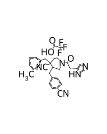 Cc1cccc(CC2(C#N)CCN(C(=O)Cc3cnc[nH]3)CC2Cc2ccc(C#N)cc2)c1.O=C(O)C(F)(F)F